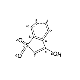 O=S1(=O)C=C(O)c2ccccc21